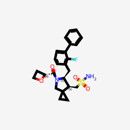 NS(=O)(=O)C[C@@H]1[C@H](Cc2cccc(-c3ccccc3)c2F)N(C(=O)[C@H]2CCO2)CC12CC2